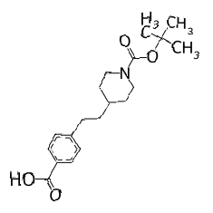 CC(C)(C)OC(=O)N1CCC(CCc2ccc(C(=O)O)cc2)CC1